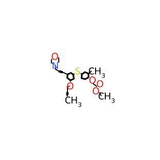 CC#CCOc1cc(C#CCN2CCOCC2)cc(Sc2ccc(OCC(=O)OCC)c(C)c2)c1